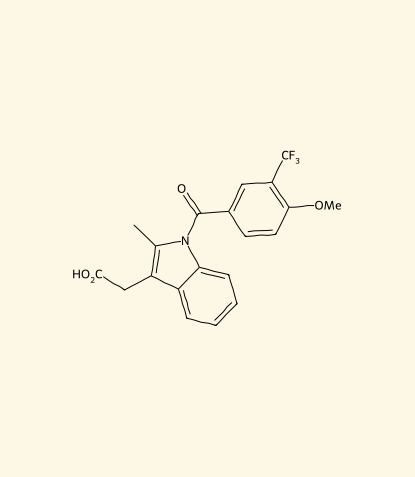 COc1ccc(C(=O)n2c(C)c(CC(=O)O)c3ccccc32)cc1C(F)(F)F